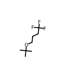 CC(C)(C)OCCCC(F)(F)F